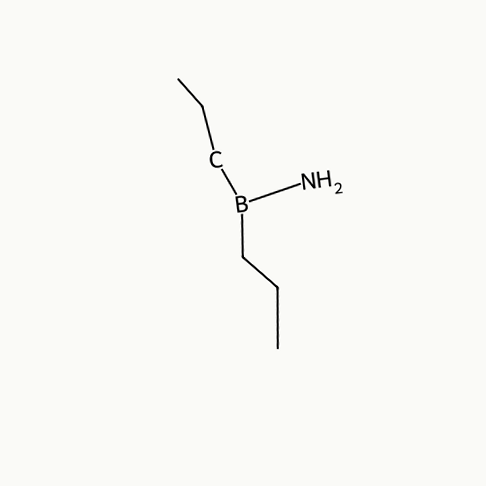 CCCB(N)CCC